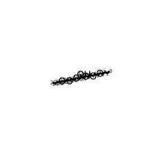 CCCCOCCOCCOCC(O)COCCOCCOCCCC